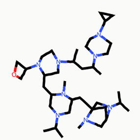 CC(C)N1CC(CC2CN(C(C)CC(C)N3CCN(C4CC4)CC3)CCN2C2COC2)N(C)C(CC23CC(CN2C)N(C(C)C)C3)C1